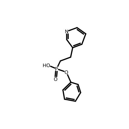 O=P(O)(CCc1cccnc1)Oc1ccccc1